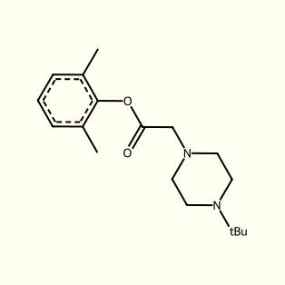 Cc1cccc(C)c1OC(=O)CN1CCN(C(C)(C)C)CC1